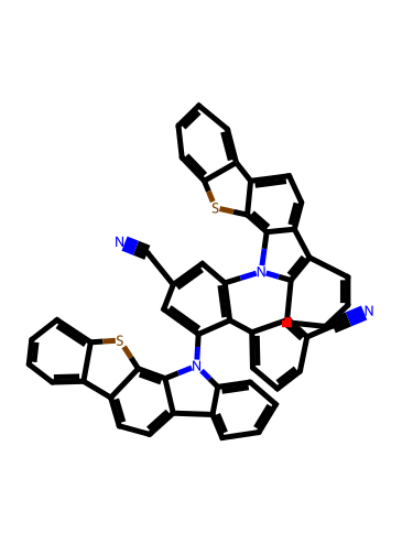 N#Cc1cccc(-c2c(-n3c4c(c5ccc6c7ccccc7sc6c53)C=CCC4)cc(C#N)cc2-n2c3ccccc3c3ccc4c5ccccc5sc4c32)c1